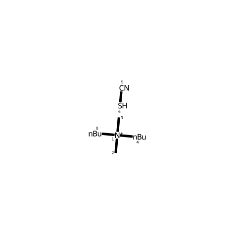 CCCC[N+](C)(C)CCCC.N#CS